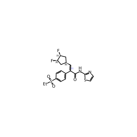 CCS(=O)(=O)c1ccc(/C(=C\[C@H]2C[C@@H](F)[C@@H](F)C2)C(=O)Nc2nccs2)cc1